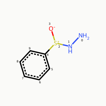 NN[S+]([O-])c1ccccc1